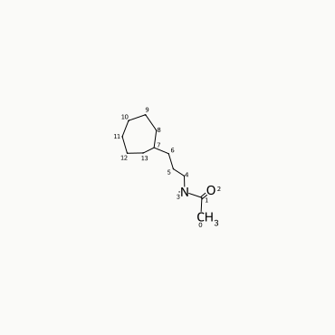 CC(=O)[N]CCCC1CCCCCC1